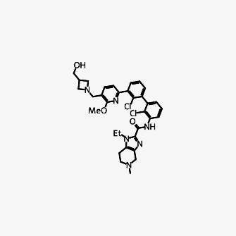 CCn1c(C(=O)Nc2cccc(-c3cccc(-c4ccc(CN5CC(CO)C5)c(OC)n4)c3Cl)c2Cl)nc2c1CCN(C)C2